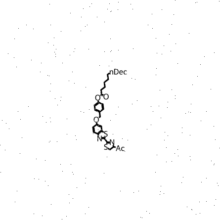 CCCCCCCCCCCCCCCC(=O)Oc1ccc(COc2ccc3nc(C4=NC(C(C)=O)CS4)sc3c2)cc1